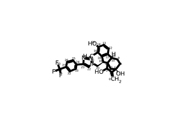 C=C1C(O)C23C[C@@]1(O)CC[C@H]2c1ccc(O)c(C)c1[C@@H]3Cn1cc(-c2ccc(C(F)(F)F)cc2)nn1